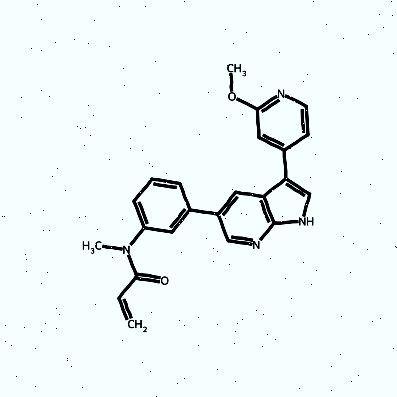 C=CC(=O)N(C)c1cccc(-c2cnc3[nH]cc(-c4ccnc(OC)c4)c3c2)c1